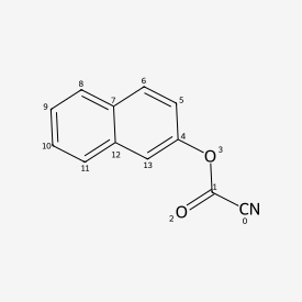 N#CC(=O)Oc1ccc2ccccc2c1